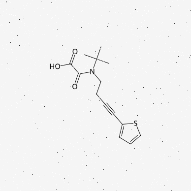 CC(C)(C)N(CCC#Cc1cccs1)C(=O)C(=O)O